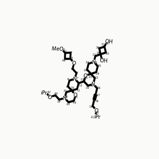 COC1CC(OCCN2CCC3(CC2C2CN(CC#CCOC(C)C)CC4(CCN(CC5(O)CC(O)C5)CC4)O2)CN(CCOC(C)C)CCO3)C1